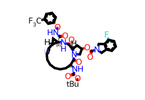 CC(C)(C)OC(=O)N[C@H]1CCCCC/C=C\[C@@H]2C[C@@]2(C(=O)NOc2cccc(C(F)(F)F)c2)NC(=O)[C@@H]2CC(OC(=O)N3Cc4cccc(F)c4C3)CN2C1=O